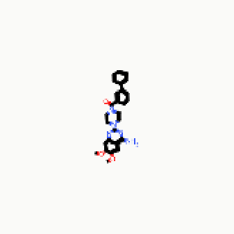 COc1cc2nc(N3CCN(C(=O)c4cccc(-c5ccccc5)c4)CC3)nc(N)c2cc1OC